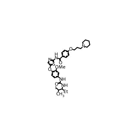 CCC(NC(=O)Nc1ccc(Oc2cnc(NC(=O)c3ccc(OCCCN4CCCCC4)cc3)s2)c(OC)c1)C(C)I